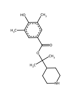 Cc1cc(C(=O)OC(C)(C)C2CCNCC2)cc(C)c1O